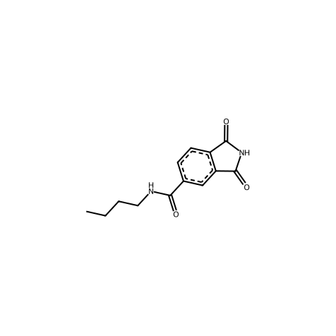 CCCCNC(=O)c1ccc2c(c1)C(=O)NC2=O